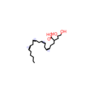 CCCCC/C=C\C/C=C\C/C=C\C/C=C\CCC(CC(O)CO)C(=O)O